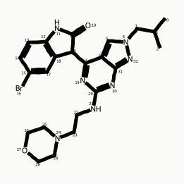 CC(C)Cn1cc2c(C3C(=O)Nc4ccc(Br)cc43)nc(NCCN3CCOCC3)nc2n1